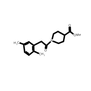 COC(=O)C1CCN(C(=O)Cc2cc(C)ccc2C)CC1